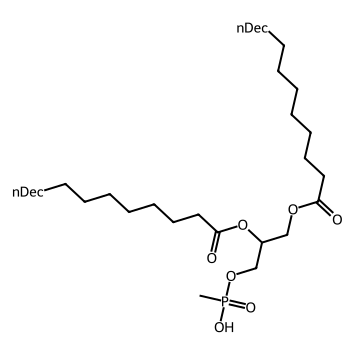 CCCCCCCCCCCCCCCCCC(=O)OCC(COP(C)(=O)O)OC(=O)CCCCCCCCCCCCCCCCC